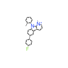 Cc1ccccc1-n1c2ccc(-c3ccc(F)cc3)cc2c2ccc[n+](C)c21